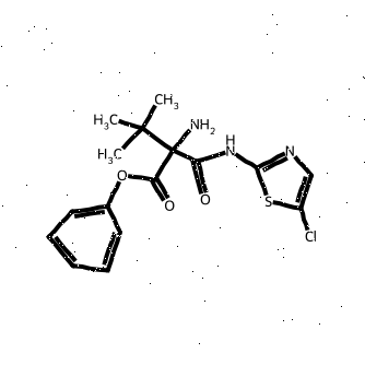 CC(C)(C)C(N)(C(=O)Nc1ncc(Cl)s1)C(=O)Oc1ccccc1